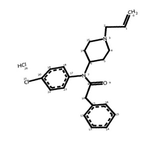 C=CCN1CCC(N(C(=O)Cc2ccccc2)c2ccc(Cl)cc2)CC1.Cl